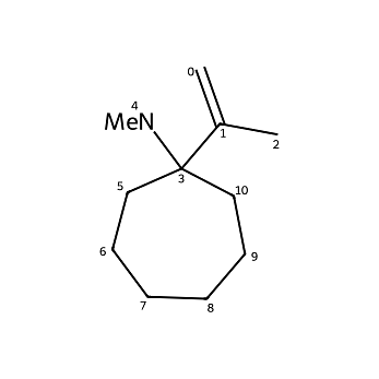 C=C(C)C1(NC)CCCCCC1